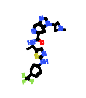 C[C@@H](NC(=O)c1cc2c(cn1)ncn2C1CN(C)C1)c1cnc(NC2=CCC(C(F)(F)F)C=C2)s1